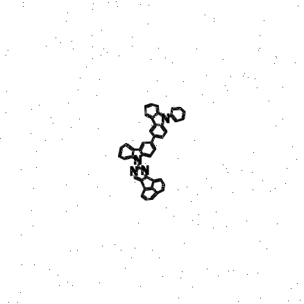 c1ccc(-n2c3ccccc3c3cc(-c4ccc5c(c4)c4ccccc4n5-c4ncc5c(n4)-c4cccc6cccc-5c46)ccc32)cc1